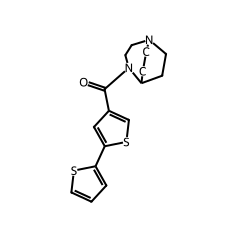 O=C(c1csc(-c2cccs2)c1)N1CCN2CCC1CC2